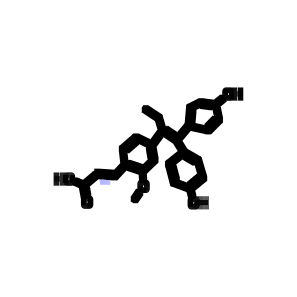 CCC(=C(c1ccc(O)cc1)c1ccc(O)cc1)c1ccc(/C=C/C(=O)O)c(OC)c1